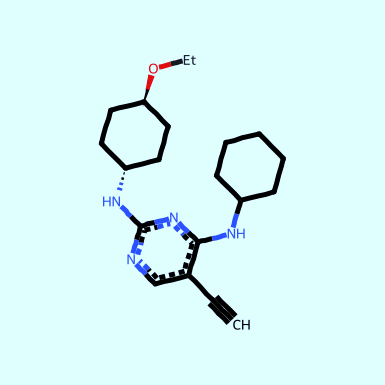 C#Cc1cnc(N[C@H]2CC[C@H](OCC)CC2)nc1NC1CCCCC1